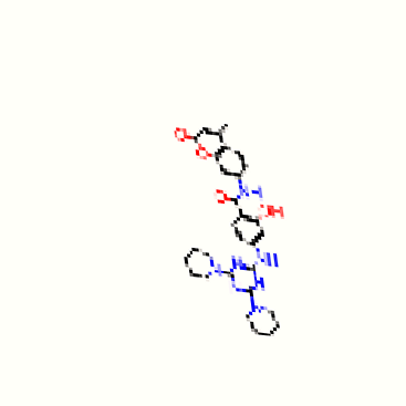 Cc1cc(=O)oc2cc(NC(=O)c3ccc(Nc4nc(N5CCCCC5)nc(N5CCCCC5)n4)cc3O)ccc12